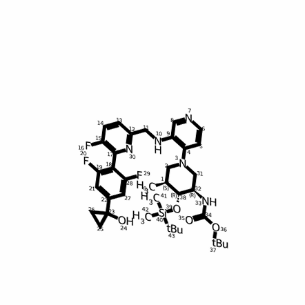 C[C@H]1CN(c2ccncc2NCc2ccc(F)c(-c3c(F)cc(C4(O)CC4)cc3F)n2)C[C@@H](NC(=O)OC(C)(C)C)[C@@H]1O[Si](C)(C)C(C)(C)C